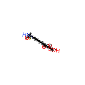 C=c1[nH]c(=O)s/c1=C\CCCCCCCCCCC(=O)CCC(=O)OCCO